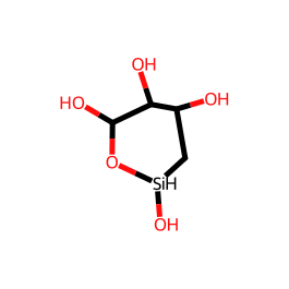 OC1C[SiH](O)OC(O)C1O